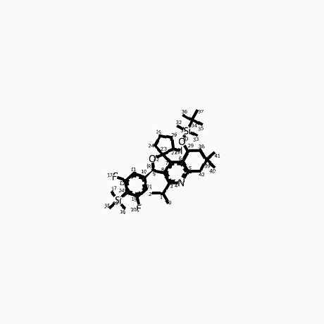 CC(C)c1nc2c(c3c1[C@@H](c1cc(F)c([Si](C)(C)C)c(F)c1)OC31CCCC1I)C(O[Si](C)(C)C(C)(C)C)CC(C)(C)C2